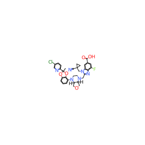 C[C@]1(c2ccc(Cl)cn2)Oc2cccc(N3CCN(Cc4nc5c(F)cc(C(=O)O)cc5n4CC4(C#N)CC4)[C@H]4COC[C@H]43)c2O1